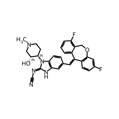 CN1CC[C@@H](n2c(=NC#N)[nH]c3cc(C=C4c5ccc(F)cc5OCc5c(F)cccc54)ccc32)[C@H](O)C1